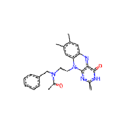 C=c1nc2c(c(=O)[nH]1)=Nc1cc(C)c(C)cc1N2CCN(Cc1ccccc1)C(C)=O